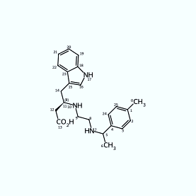 Cc1ccc(C(C)NCCN[C@@H](CC(=O)O)Cc2c[nH]c3ccccc23)cc1